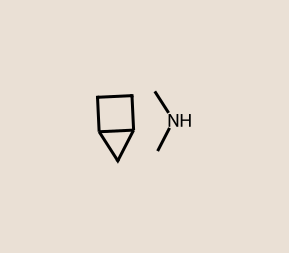 C1CC2CC12.CNC